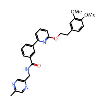 COc1ccc(CCOc2cccc(-c3cccc(C(=O)NCc4cnc(C)cn4)c3)n2)cc1OC